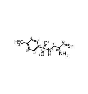 Cc1ccc(S(=O)(=O)NCC(N)C=S)cc1